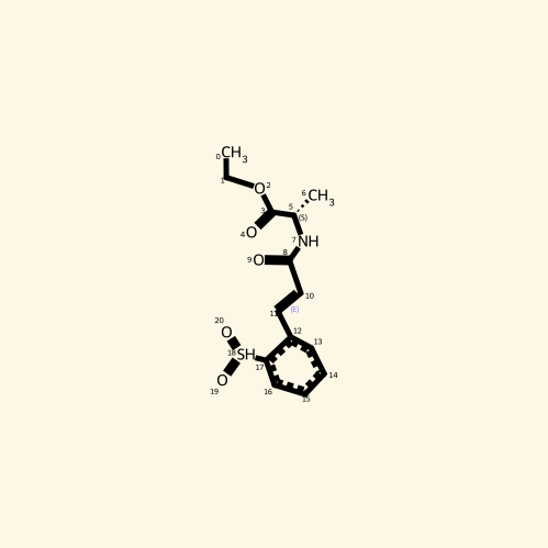 CCOC(=O)[C@H](C)NC(=O)/C=C/c1ccccc1[SH](=O)=O